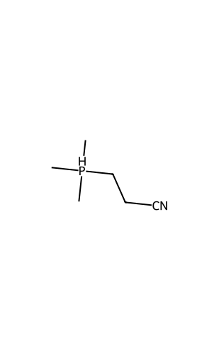 C[PH](C)(C)CCC#N